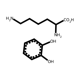 NCCCCC(N)C(=O)O.Oc1ccccc1O